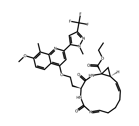 CCOC(=O)[C@@]12C[C@H]1/C=C\CCC/C=N/C(=O)N[C@@H](CCOc1cc(-c3cc(C(F)(F)F)nn3C)nc3c(C)c(OC)ccc13)C(=O)N2